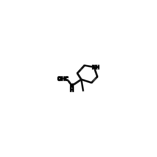 CC1(NC=O)CCNCC1